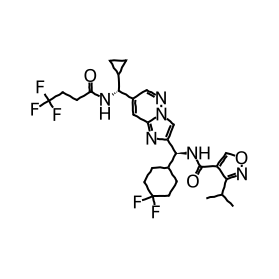 CC(C)c1nocc1C(=O)N[C@H](c1cn2ncc([C@H](NC(=O)CCC(F)(F)F)C3CC3)cc2n1)C1CCC(F)(F)CC1